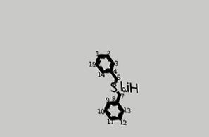 [LiH].c1ccc(CSCc2ccccc2)cc1